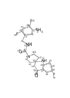 Nc1cc(CNC(=O)N2CCC3(CC2)CC(=O)c2cc(F)ccc2N3)c(F)cc1F